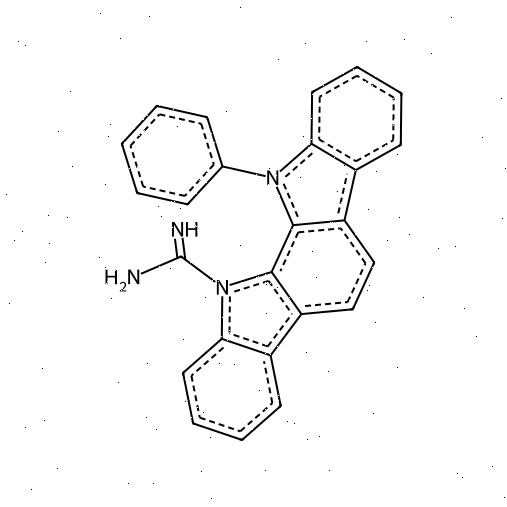 N=C(N)n1c2ccccc2c2ccc3c4ccccc4n(-c4ccccc4)c3c21